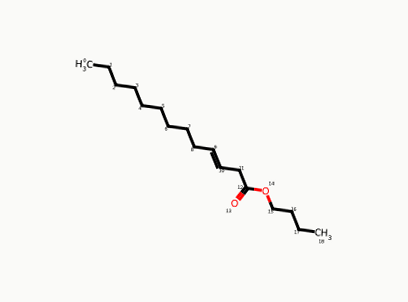 CCCCCCCCC/C=C/CC(=O)OCCCC